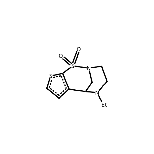 CCN1CCN2CC1c1ccsc1S2(=O)=O